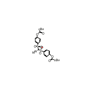 CCCCC(=O)Oc1ccc(S(=O)(=O)C(=[N+]=[N-])S(=O)(=O)c2ccc(OC(=O)CCCC)cc2)cc1